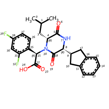 CC(C)C[C@@H]1C(=O)N[C@H](C2Cc3ccccc3C2)C(=O)N1[C@@H](C(=O)O)c1ccc(F)cc1F